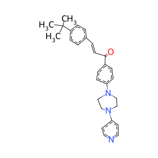 CC(C)(C)c1ccc(C=CC(=O)c2ccc(N3CCN(c4ccncc4)CC3)cc2)cc1